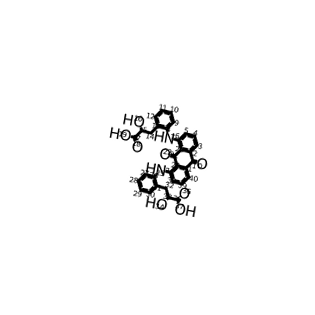 O=C1c2cccc(Nc3ccccc3CC(O)C(=O)O)c2C(=O)c2c(Nc3ccccc3CC(O)C(=O)O)cccc21